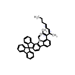 C\C=C(/C(C)=C\C=C\CCC)c1cccc2c3ccc4c(c3n(C=O)c12)-c1ccccc1C41c2ccccc2-c2ccccc21